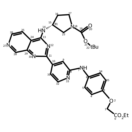 CCOC(=O)COc1ccc(Nc2cc(-c3nc(N[C@@H]4CCN(C(=O)OC(C)(C)C)C4)c4ccncc4n3)ccn2)cc1